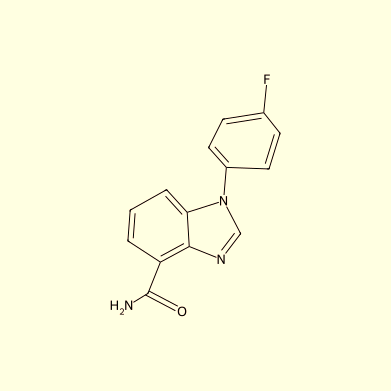 NC(=O)c1cccc2c1ncn2-c1ccc(F)cc1